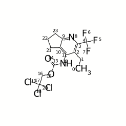 CCc1c(C(F)(F)F)nc2c(c1NC(=O)OCC(Cl)(Cl)Cl)CCC2